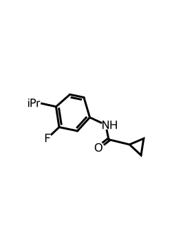 CC(C)c1ccc(NC(=O)C2CC2)cc1F